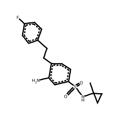 CC1(NS(=O)(=O)c2ccc(CCc3ccc(F)cc3)c(N)c2)CC1